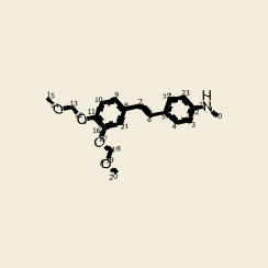 CNc1ccc(C=Cc2ccc(OCOC)c(OCOC)c2)cc1